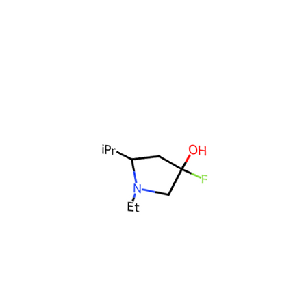 CCN1CC(O)(F)CC1C(C)C